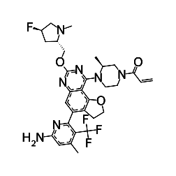 C=CC(=O)N1CCN(c2nc(OC[C@@H]3C[C@@H](F)CN3C)nc3cc(-c4nc(N)cc(C)c4C(F)(F)F)c4c(c23)OCC4)[C@@H](C)C1